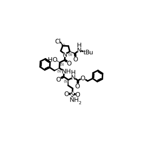 CC(C)(C)NC(=O)[C@@H]1C[C@H](Cl)CN1C(=O)[C@@H](O)[C@H](Cc1ccccc1)NC(=O)[C@H](CCS(N)(=O)=O)NC(=O)OCc1ccccc1